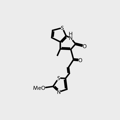 COc1ncc(C=CC(=O)c2c(C)c3ccsc3[nH]c2=O)s1